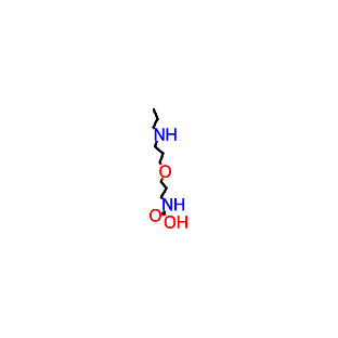 CCCNCCCOCCCNC(=O)O